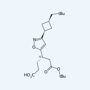 CC(C)(C)C[C@H]1C[C@@H](c2cc([C@@H](CCC(=O)O)CC(=O)OC(C)(C)C)on2)C1